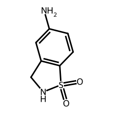 Nc1ccc2c(c1)CNS2(=O)=O